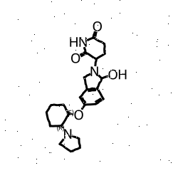 O=C1CCC(N2Cc3cc(O[C@H]4CCCC[C@H]4N4CCCC4)ccc3C2O)C(=O)N1